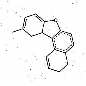 CC1=CC=C2Oc3ccc4c(c3C2C1)C=CCC4